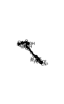 Cc1ncsc1-c1ccc(CNC(=O)[C@@H]2C[C@@H](O)CN2C(=O)C(NC(=O)COCCCOCCCOc2ccc(CN3C(=S)N(c4ccc(C#N)c(C(F)(F)F)c4)C(=O)C3(C)C)cc2)C(C)(C)C)cc1